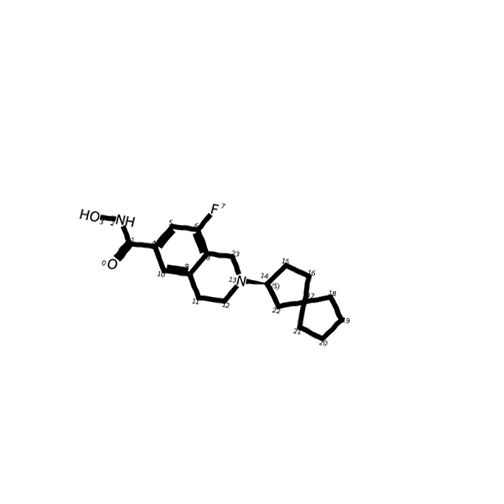 O=C(NO)c1cc(F)c2c(c1)CCN([C@H]1CCC3(CCCC3)C1)C2